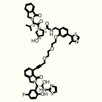 Cc1ncsc1-c1ccc(CNC(=O)[C@@H]2C[C@@H](O)CN2C(=O)[C@H](C(C)C)N2Cc3ccccc3C2=O)c(OCCOCCOCC#Cc2cccc3c2C(=O)N([C@@H](c2cc(F)ccc2O)C(O)Nc2nccs2)C3)c1